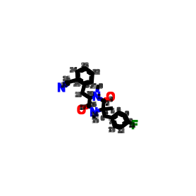 CN1C(=O)C(C)(Cc2ccc(F)cc2)N(C)C(=O)C1Cc1ccccc1C#N